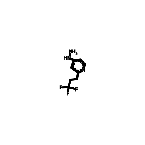 NNc1ccnc(CCC(F)(F)F)c1